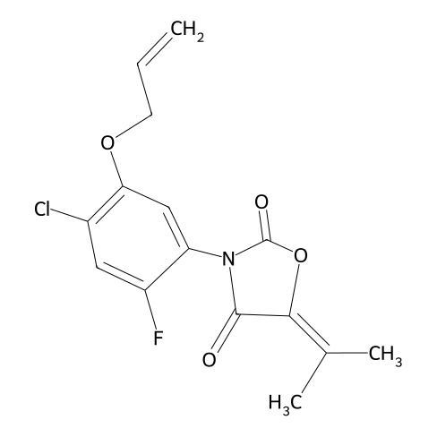 C=CCOc1cc(N2C(=O)OC(=C(C)C)C2=O)c(F)cc1Cl